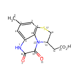 Cc1cc2c3c(c1)[nH]c(=O)c(=O)n3C(CC(=O)O)CS2